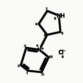 [Cl-].c1cc[n+](C2CCNC2)cc1